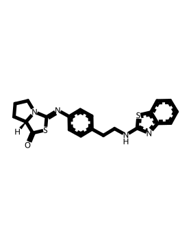 O=C1S/C(=N\c2ccc(CCNc3nc4ccccc4s3)cc2)N2CCC[C@@H]12